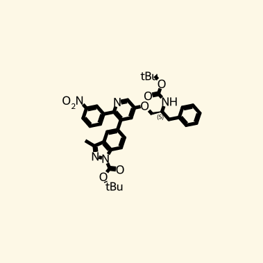 Cc1nn(C(=O)OC(C)(C)C)c2ccc(-c3cc(OC[C@H](Cc4ccccc4)NC(=O)OC(C)(C)C)cnc3-c3cccc([N+](=O)[O-])c3)cc12